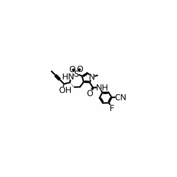 CC#C[C@H](O)[C@H]1CCc2c(cn(C)c2C(=O)Nc2ccc(F)c(C#N)c2)S(=O)(=O)N1